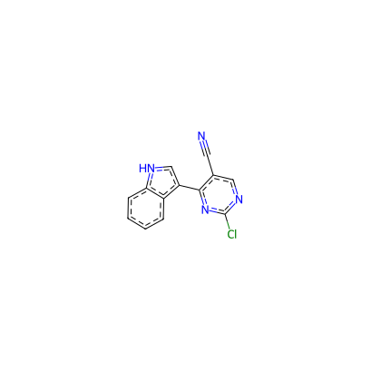 N#Cc1cnc(Cl)nc1-c1c[nH]c2ccccc12